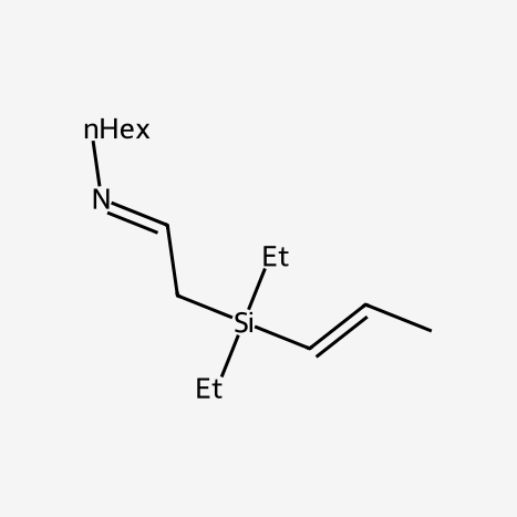 CC=C[Si](CC)(CC)CC=NCCCCCC